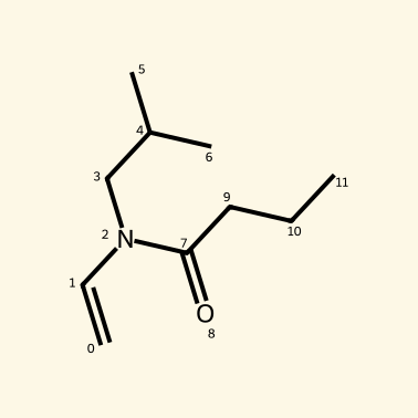 C=CN(CC(C)C)C(=O)CCC